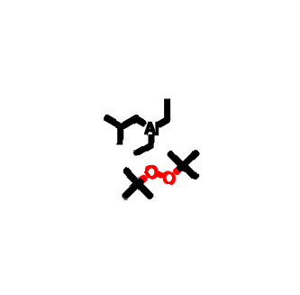 CC(C)(C)OOC(C)(C)C.C[CH2][Al]([CH2]C)[CH2]C(C)C